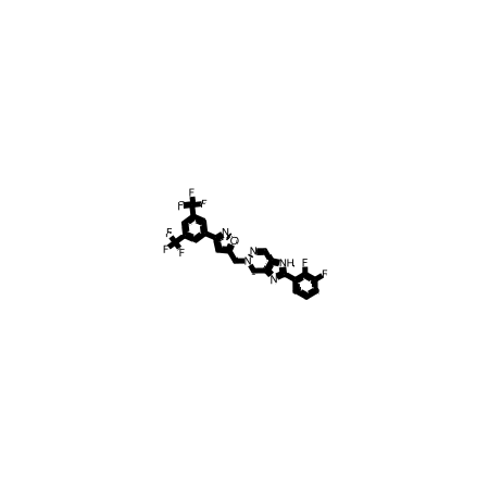 Fc1cccc(-c2nc3c([nH]2)C=NN(Cc2cc(-c4cc(C(F)(F)F)cc(C(F)(F)F)c4)no2)C3)c1F